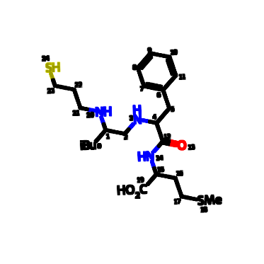 CCC(C)C(CNC(Cc1ccccc1)C(=O)NC(CCSC)C(=O)O)NCCCS